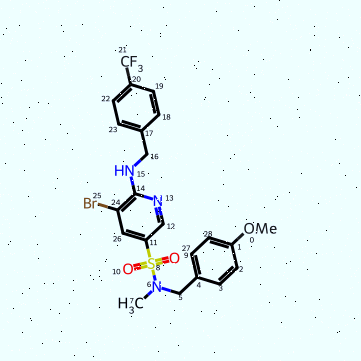 COc1ccc(CN(C)S(=O)(=O)c2cnc(NCc3ccc(C(F)(F)F)cc3)c(Br)c2)cc1